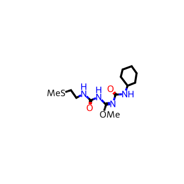 COC(=NC(=O)NC1CCCCC1)NC(=O)NCCSC